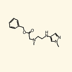 CN(CCNc1cnn(C)c1)CC(=O)OCc1ccccc1